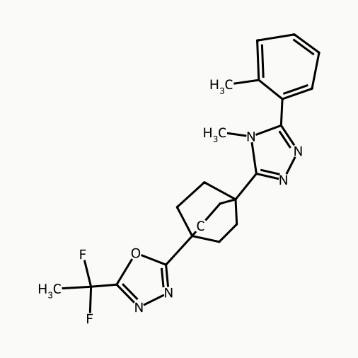 Cc1ccccc1-c1nnc(C23CCC(c4nnc(C(C)(F)F)o4)(CC2)CC3)n1C